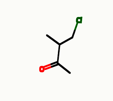 CC(=O)C(C)CCl